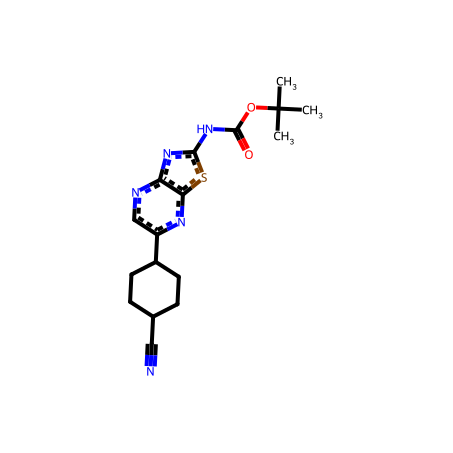 CC(C)(C)OC(=O)Nc1nc2ncc(C3CCC(C#N)CC3)nc2s1